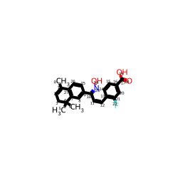 CC1=CCC(C)(C)c2cc(C(/C=C\c3ccc(C(=O)O)cc3F)=NO)ccc21